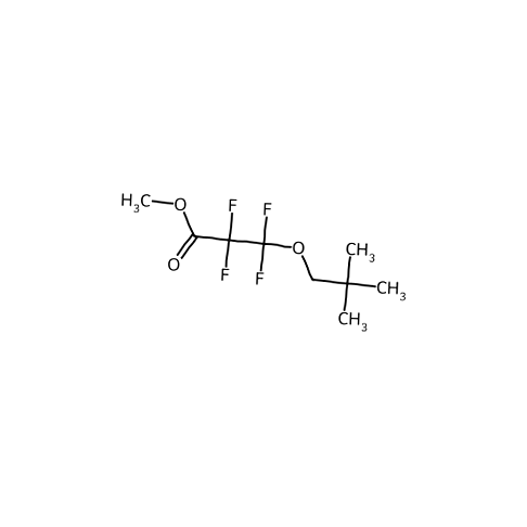 COC(=O)C(F)(F)C(F)(F)OCC(C)(C)C